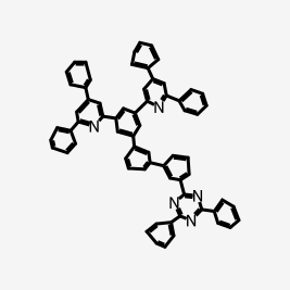 c1ccc(-c2cc(-c3ccccc3)nc(-c3cc(-c4cccc(-c5cccc(-c6nc(-c7ccccc7)nc(-c7ccccc7)n6)c5)c4)cc(-c4cc(-c5ccccc5)cc(-c5ccccc5)n4)c3)c2)cc1